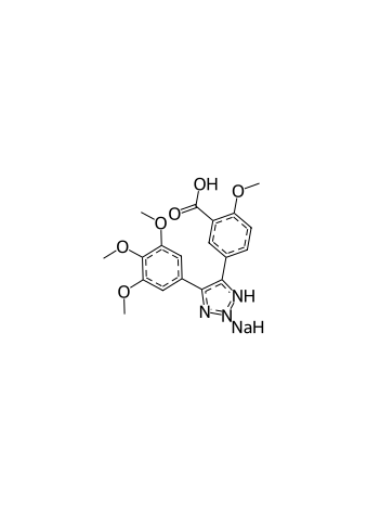 COc1ccc(-c2[nH]nnc2-c2cc(OC)c(OC)c(OC)c2)cc1C(=O)O.[NaH]